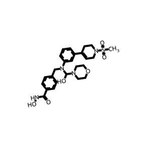 CS(=O)(=O)N1CC=C(c2cccc(N(Cc3ccc(C(=O)NO)cc3)C(O)N3CCOCC3)c2)CC1